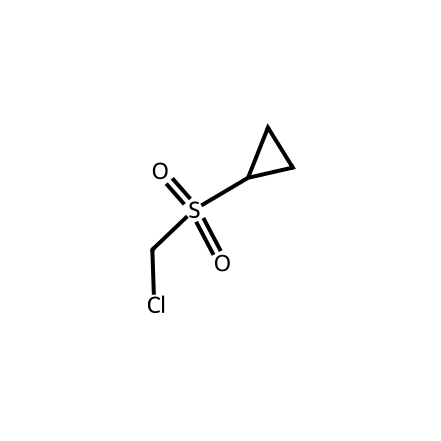 O=S(=O)(CCl)C1CC1